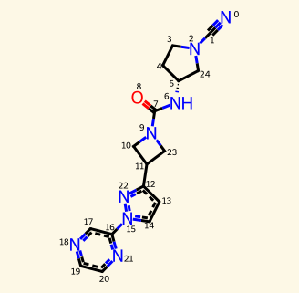 N#CN1CC[C@@H](NC(=O)N2CC(c3ccn(-c4cnccn4)n3)C2)C1